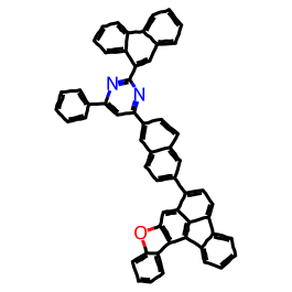 c1ccc(-c2cc(-c3ccc4cc(-c5ccc6c7c(c8c(cc57)oc5ccccc58)-c5ccccc5-6)ccc4c3)nc(-c3cc4ccccc4c4ccccc34)n2)cc1